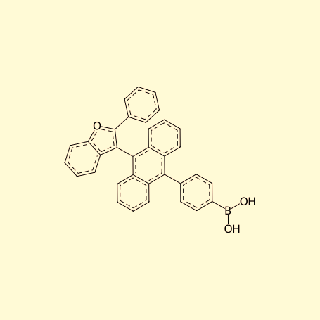 OB(O)c1ccc(-c2c3ccccc3c(-c3c(-c4ccccc4)oc4ccccc34)c3ccccc23)cc1